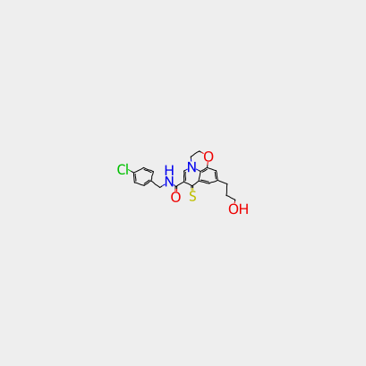 O=C(NCc1ccc(Cl)cc1)c1cn2c3c(cc(CCCO)cc3c1=S)OCC2